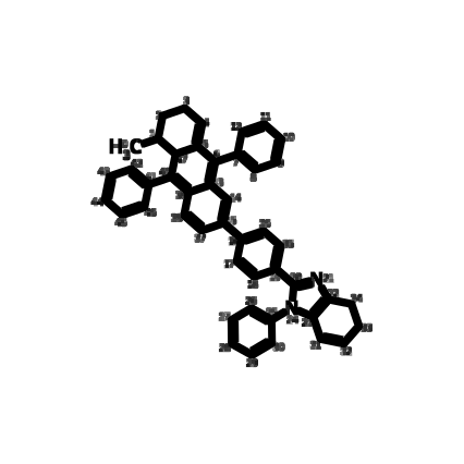 CC1CCC=C2C(c3ccccc3)=c3cc(-c4ccc(-c5nc6c(n5-c5ccccc5)C=CCC6)cc4)ccc3=C(c3ccccc3)C21